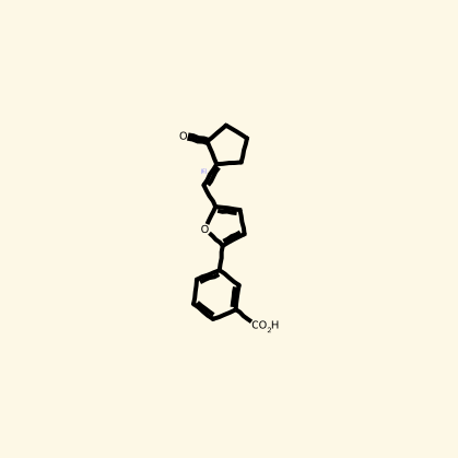 O=C1CCC/C1=C\c1ccc(-c2cccc(C(=O)O)c2)o1